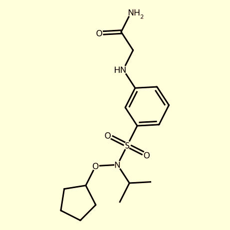 CC(C)N(OC1CCCC1)S(=O)(=O)c1cccc(NCC(N)=O)c1